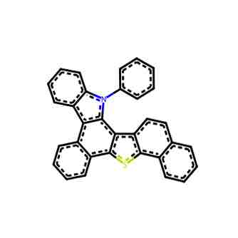 c1ccc(-n2c3ccccc3c3c4ccccc4c4sc5c6ccccc6ccc5c4c32)cc1